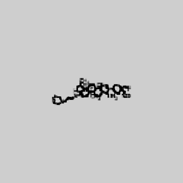 CC1CCC2(CNCCCN3CCSCC3)CC[C@]3(C)[C@H](CCC4C5(C)CC=C(C6=CC[C@@](CF)(CN=O)CC6)C(C)C5CCC43C)C12